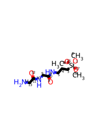 CO[Si](CCCNC(=O)CNC(=O)CN)(OC)OC